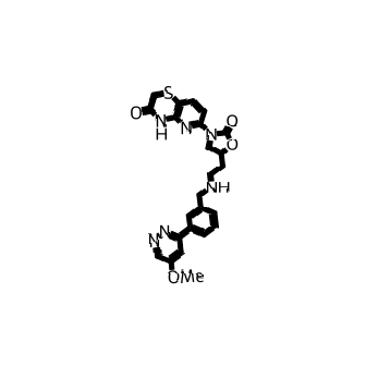 COc1cnnc(-c2cccc(CNCCC3CN(c4ccc5c(n4)NC(=O)CS5)C(=O)O3)c2)c1